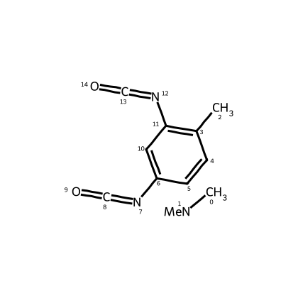 CNC.Cc1ccc(N=C=O)cc1N=C=O